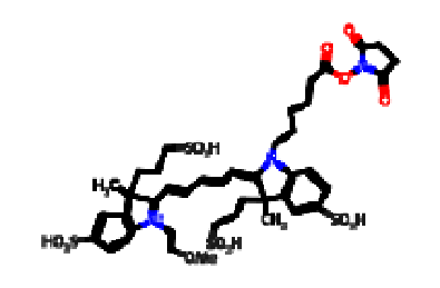 COCC[N+]1=C(/C=C/C=C/C=C2/N(CCCCCC(=O)ON3C(=O)CCC3=O)c3ccc(S(=O)(=O)O)cc3C2(C)CCCS(=O)(=O)O)C(C)(CCCS(=O)(=O)O)c2cc(S(=O)(=O)O)ccc21